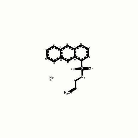 C=CCOS(=O)(=O)c1cccc2cc3ccccc3cc12.[Na]